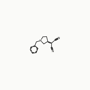 N#CC(C#N)=C1CCN(Cc2ccccc2)C1